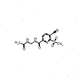 CC(=O)NCNC(=O)c1ccc(C#N)c(S(C)(=O)=O)n1